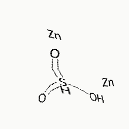 O=[SH](=O)O.[Zn].[Zn]